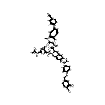 COC(=O)[C@H](Cc1ccc(-c2ccc(C#N)cc2)cc1)NC(=O)C1Cc2cc3c(cc2CN1S(=O)(=O)c1sc(NC(C)=O)nc1C)O[C@@H](c1ccc(OCc2ccc(Cl)c(Cl)c2)cc1)CO3